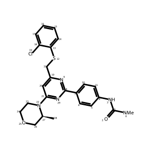 CNC(=O)Nc1ccc(-c2nc(CSc3ccccc3Cl)cc(N3CCOC[C@@H]3C)n2)cc1